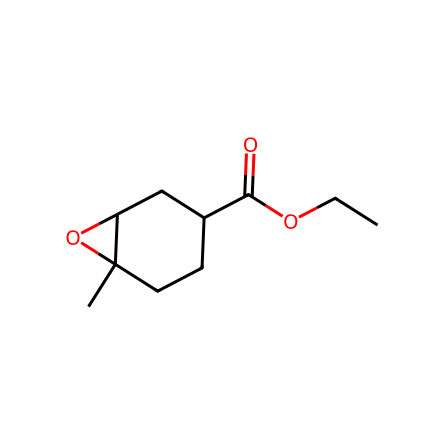 CCOC(=O)C1CCC2(C)OC2C1